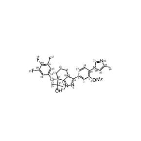 COc1cc(-c2nnc3n2CCCC3(Oc2cc(F)c(F)c(F)c2)C(C)(C)O)ccc1-n1cnc(C)c1